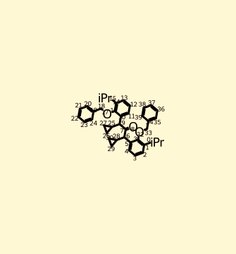 CC(C)c1cccc(C(C(=O)C(c2cccc(C(C)C)c2OCc2ccccc2)C2CC2)C2CC2)c1OCc1ccccc1